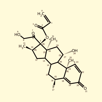 C=CC(=O)O[C@]1(C(=O)CO)[C@H](C)CC2C3C[C@H](F)C4=CC(=O)C=C[C@]4(C)C3[C@@H](O)C[C@@]21C